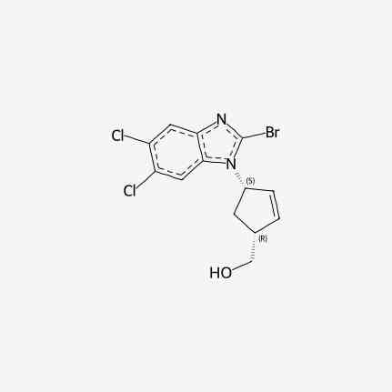 OC[C@H]1C=C[C@@H](n2c(Br)nc3cc(Cl)c(Cl)cc32)C1